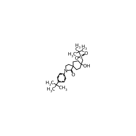 CC(C)(C)c1ccc(N2CCC3(CCC(O)(CS(=O)(=O)C(C)(C)C)CC3)C2=O)cc1